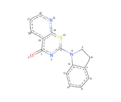 O=c1nc(N2CCc3ccccc32)sc2ncccc12